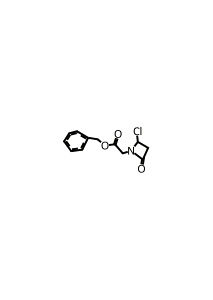 O=C(CN1C(=O)CC1Cl)OCc1ccccc1